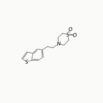 O=S1(=O)CCN(CCc2ccc3sccc3c2)CC1